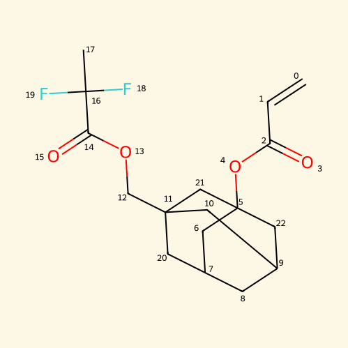 C=CC(=O)OC12CC3CC(CC(COC(=O)C(C)(F)F)(C3)C1)C2